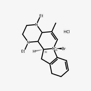 CCN1CCN(CC)C2C1C(C)=C[N@+]1(Br)C3=C(CCC=C3)C[C@@H]21.Cl